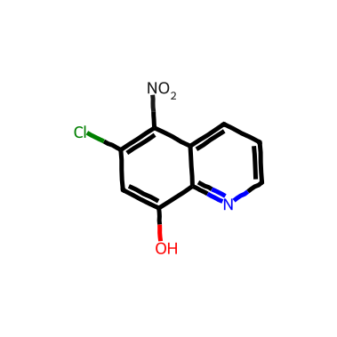 O=[N+]([O-])c1c(Cl)cc(O)c2ncccc12